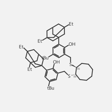 CCC12CC3CC(CC)(C1)CC(c1cc(C(C)(C)C)cc(CS[C@H]4CCCCCC[C@@H]4SCc4cc(C(C)(C)C)cc(C56CC7CC(CC)(CC(CC)(C7)C5)C6)c4O)c1O)(C3)C2